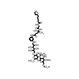 CCCC(C)(CCC(=O)Nc1cccc(NCC(O)[C@H](O)[C@H](O)C(O)CO[C@@H]2OC(C(=O)O)[C@H](O[C@@H]3OC(COS(=O)(=O)O)[C@@H](OC)[C@@H](O)C3NS(=O)(=O)O)CC2OS(=O)(=O)O)c1)NC(=O)CNC(=O)CCCCC1CCSS1